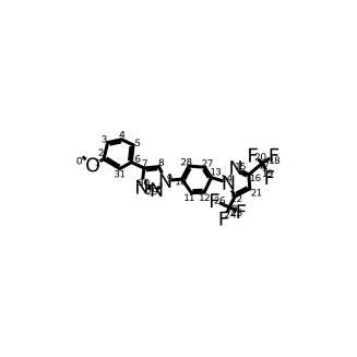 COc1cccc(-c2cn(-c3ccc(-n4nc(C(F)(F)F)cc4C(F)(F)F)cc3)nn2)c1